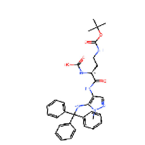 Cn1ncc(NC(=O)[C@H](CCNC(=O)OC(C)(C)C)NC(=O)O)c1NC(c1ccccc1)(c1ccccc1)c1ccccc1